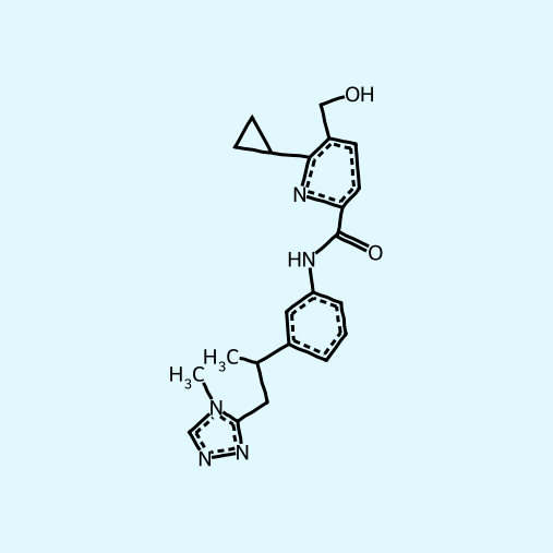 CC(Cc1nncn1C)c1cccc(NC(=O)c2ccc(CO)c(C3CC3)n2)c1